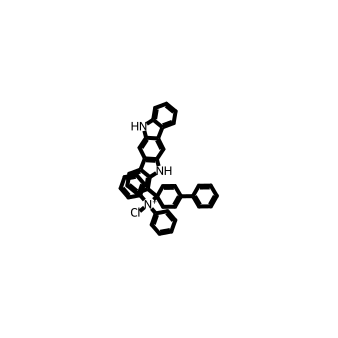 Cl[N+](c1ccccc1)(c1ccccc1)C1(c2cccc3c2[nH]c2cc4c(cc23)[nH]c2ccccc24)C=CC(c2ccccc2)=CC1